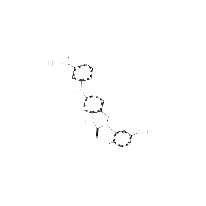 CC(=O)Nc1ccc(C)c(N2Cc3cnc(Nc4cccc(N(C)C)c4)nc3NC2=O)c1